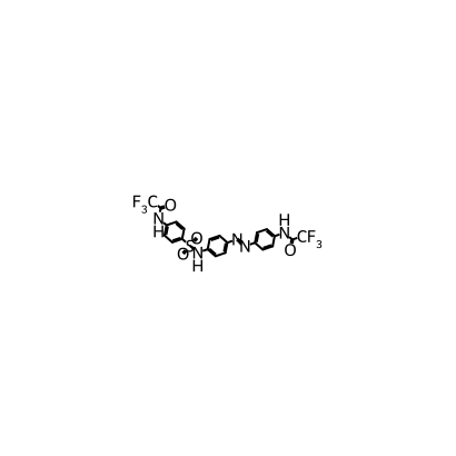 O=C(Nc1ccc(N=Nc2ccc(NS(=O)(=O)c3ccc(NC(=O)C(F)(F)F)cc3)cc2)cc1)C(F)(F)F